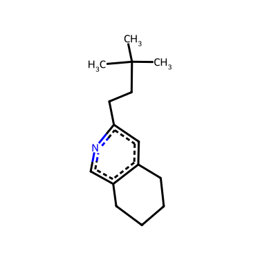 CC(C)(C)CCc1cc2c(cn1)CCCC2